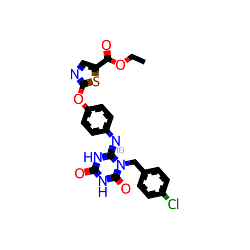 CCOC(=O)c1cnc(Oc2ccc(/N=c3\[nH]c(=O)[nH]c(=O)n3Cc3ccc(Cl)cc3)cc2)s1